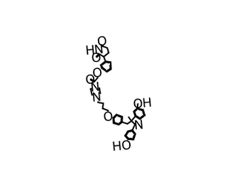 CC1(Cc2ccc(OCCCCN3CCN(C(=O)COc4cccc(C5CCC(=O)NC5=O)c4)CC3)cc2)C(c2ccc(O)cc2)=Nc2ccc(O)cc21